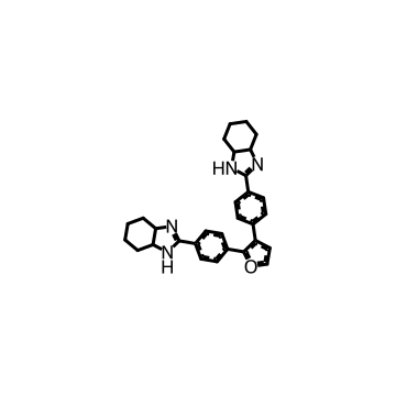 c1cc(-c2ccc(C3=NC4CCCCC4N3)cc2)c(-c2ccc(C3=NC4CCCCC4N3)cc2)o1